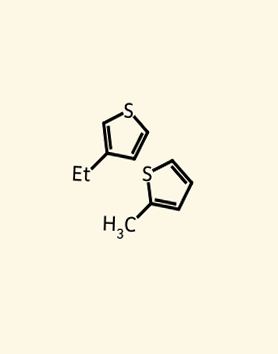 CCc1ccsc1.Cc1cccs1